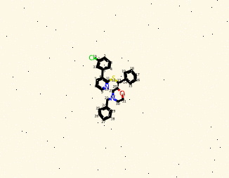 Clc1cccc(-c2cccnc2SC(c2ccccc2)[C@@H]2CN(Cc3ccccc3)CCO2)c1